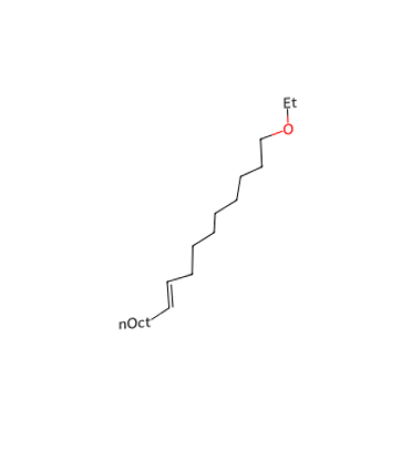 [CH2]COCCCCCCCCC=CCCCCCCCC